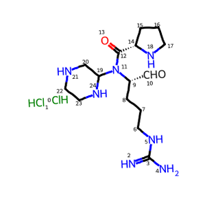 Cl.Cl.N=C(N)NCCC[C@@H](C=O)N(C(=O)[C@@H]1CCCN1)C1CNCCN1